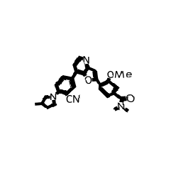 COc1cc(C(=O)N(C)C)ccc1-c1cc2nccc(-c3ccc(N4CCC(C)C4)c(C#N)c3)c2o1